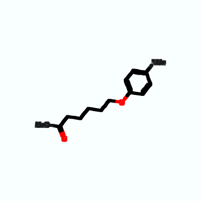 CNc1ccc(OCCCCCC(=O)OC)cc1